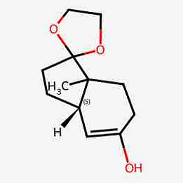 CC12CCC(O)=C[C@@H]1CCC21OCCO1